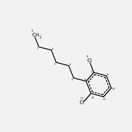 [CH2]CCCCCc1c(Cl)cccc1Cl